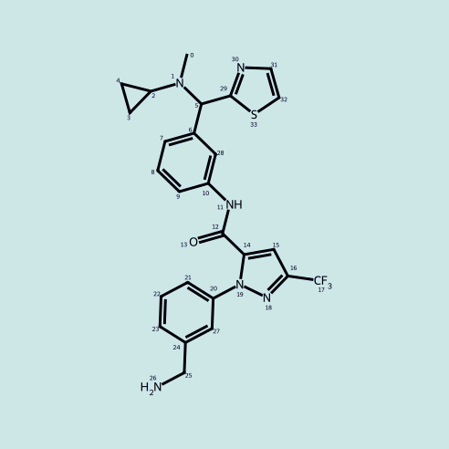 CN(C1CC1)C(c1cccc(NC(=O)c2cc(C(F)(F)F)nn2-c2cccc(CN)c2)c1)c1nccs1